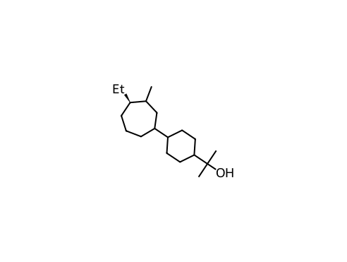 CC[C@@H]1CCCC(C2CCC(C(C)(C)O)CC2)CC1C